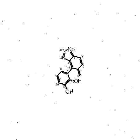 C=c1ccc2c(c1-c1cccc(O)c1O)N=NN=2